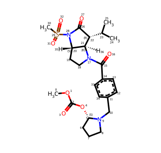 COC(=O)O[C@H]1CCCN1Cc1ccc(C(=O)N2CC[C@H]3[C@H]2[C@@H](C(C)C)C(=O)N3S(C)(=O)=O)cc1